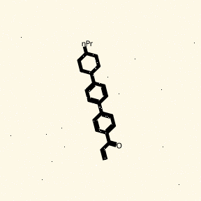 C=CC(=O)c1ccc(-c2ccc(C3CCC(CCC)CC3)cc2)cc1